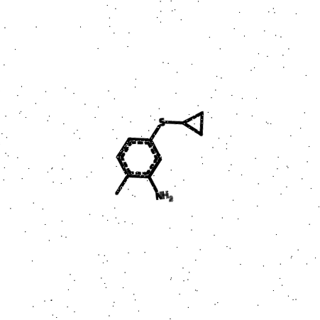 Cc1ccc(SC2CC2)cc1N